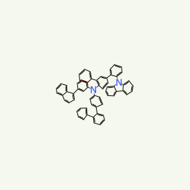 c1ccc(-c2ccccc2-c2ccc(N(c3cccc(-c4cccc5ccccc45)c3)c3ccc(-c4ccccc4-n4c5ccccc5c5ccccc54)cc3-c3ccccc3)cc2)cc1